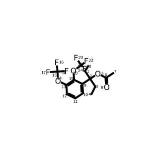 CCC(CC)(OC(C)=O)c1cccc(OC(F)(F)F)c1OC(F)(F)F